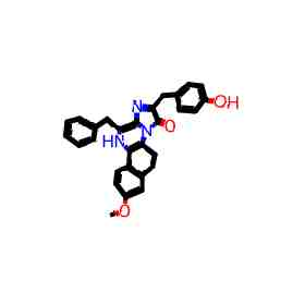 COc1ccc2c(c1)CCc1c-2[nH]c(Cc2ccccc2)c2nc(Cc3ccc(O)cc3)c(=O)n1-2